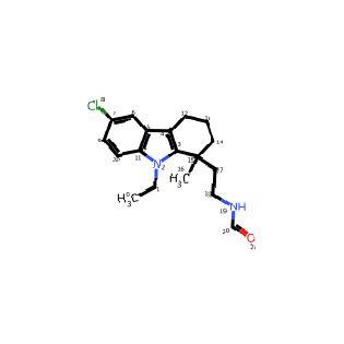 CCn1c2c(c3cc(Cl)ccc31)CCCC2(C)CCNC=O